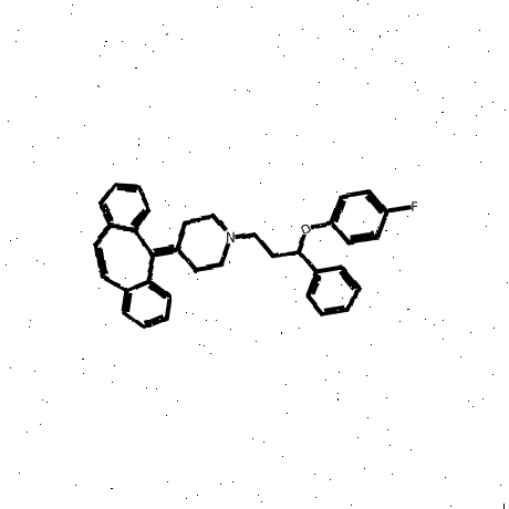 Fc1ccc(OC(CCN2CCC(=C3c4ccccc4C=Cc4ccccc43)CC2)c2ccccc2)cc1